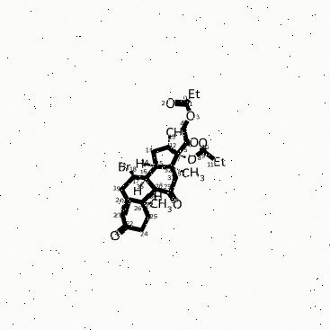 CCC(=O)OCC(=O)[C@]1(OC(=O)CC)[C@@H](C)C[C@H]2[C@@H]3[C@H](Br)CC4=CC(=O)CC[C@]4(C)[C@H]3C(=O)C[C@@]21C